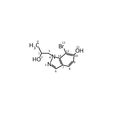 CC(O)Cn1ncc2ccc(O)c(Br)c21